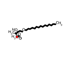 CCCCCCCCCCCCCCCCOCCC(O)(OC(C)=O)C(C)C